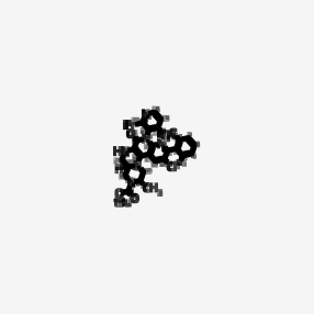 Cc1cccc(F)c1-c1nc2c(cc1Cl)c1c(c(=O)n2-c2c(C)ccnc2C(C)C)NC[C@H]2CN(C(=O)OC(C)(C)C)[C@H](C)CN12